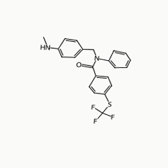 CNc1ccc(CN(C(=O)c2ccc(SC(F)(F)F)cc2)c2ccccc2)cc1